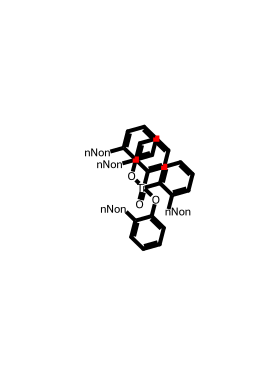 CCCCCCCCCc1ccccc1[O][Ti](=[O])([O]c1ccccc1CCCCCCCCC)([c]1ccccc1CCCCCCCCC)[c]1ccccc1CCCCCCCCC